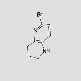 Brc1ccc2c(n1)CCCN2